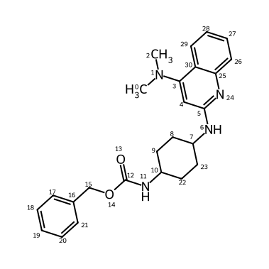 CN(C)c1cc(NC2CCC(NC(=O)OCc3ccccc3)CC2)nc2ccccc12